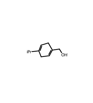 CC(C)C1=CCC(CO)=CC1